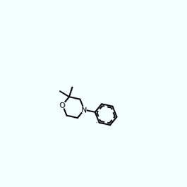 CC1(C)CN(c2[c]cccc2)CCO1